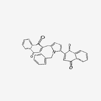 O=C1C=C(c2ccc(C3=CC(=O)c4ccccc4C3=O)n2Cc2ccccc2)C(=O)c2ccccc21